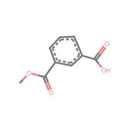 COC(=O)c1cc[c]c(C(=O)O)c1